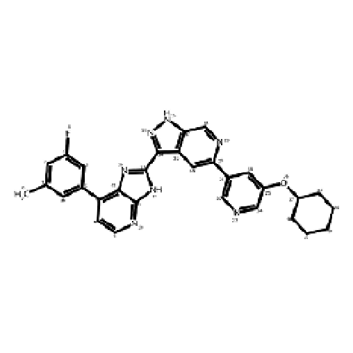 Cc1cc(F)cc(-c2ccnc3[nH]c(-c4n[nH]c5cnc(-c6cncc(OC7CCCCC7)c6)cc45)nc23)c1